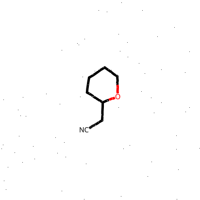 N#CCC1CCCCO1